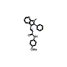 COc1ccc(NC(=O)/C=C/c2c(-c3ccccc3)n(C)c3ncccc23)cc1